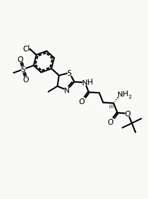 CC1N=C(NC(=O)CC[C@H](N)C(=O)OC(C)(C)C)SC1c1ccc(Cl)c(S(C)(=O)=O)c1